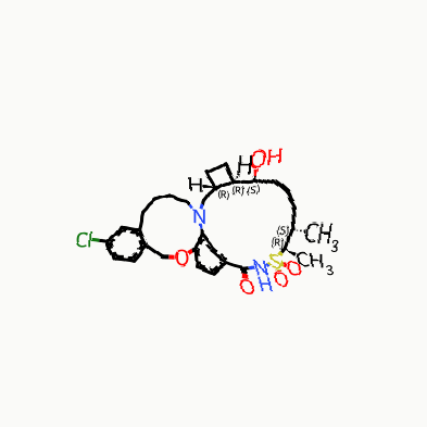 C[C@@H]1[C@@H](C)CCC[C@H](O)[C@@H]2CC[C@H]2CN2CCCCc3cc(Cl)ccc3COc3ccc(cc32)C(=O)NS1(=O)=O